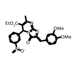 C=[N+]([O-])c1cccc(C2C(C(=O)OCC)=C(C)N=c3s/c(=C\c4ccc(OC)c(OC)c4)c(=O)n32)c1